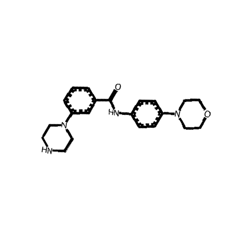 O=C(Nc1ccc(N2CCOCC2)cc1)c1cccc(N2CCNCC2)c1